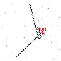 CCCCCCCCCCCCCCCCCCc1cc2c(CCCCCCCCCCCCCCCCCC)cccc2c(I(=O)=O)c1C(=O)O